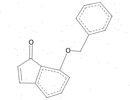 O=C1C=Cc2cccc(OCc3ccccc3)c21